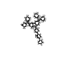 c1ccc(-c2ccc(-c3ccc(-n4c5ccc(N(c6ccccc6)c6ccccc6)cc5c5cc(N(c6ccccc6)c6ccccc6)ccc54)cc3)nc2)cc1